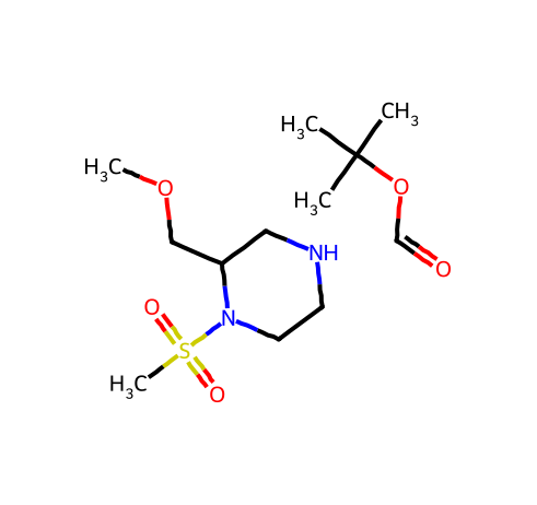 CC(C)(C)OC=O.COCC1CNCCN1S(C)(=O)=O